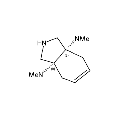 CN[C@@]12CC=CC[C@]1(NC)CNC2